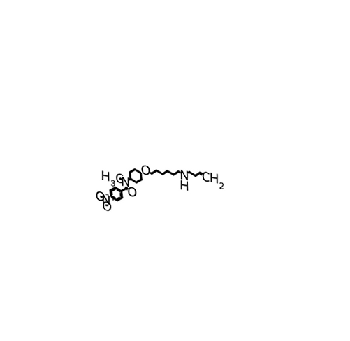 C=CCCNCCCCCCOC1CCC(N(C)C(=O)c2ccc([N+](=O)[O-])cc2)CC1